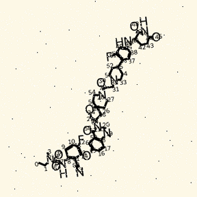 CCN(C)S(=O)(=O)Nc1ccc(F)c(Oc2ccc3ncn([C@H]4COC5(CCN(C(=O)CN6CCC(c7ccc(N[C@H]8CCC(=O)NC8=O)cc7F)CC6)CC5)C4)c(=O)c3c2)c1C#N